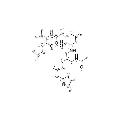 CC(=O)NCC(CNC(CC(C)C)C(O)CC(C)C(=O)NC(C(=O)NCC(C)C)C(C)C)NCC(C)Cc1nc(C)cs1